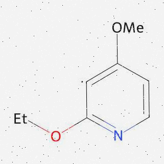 CCOc1[c]c(OC)ccn1